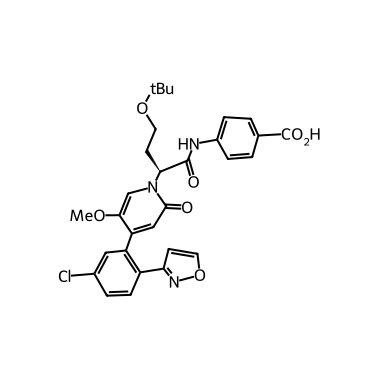 COc1cn([C@@H](CCOC(C)(C)C)C(=O)Nc2ccc(C(=O)O)cc2)c(=O)cc1-c1cc(Cl)ccc1-c1ccon1